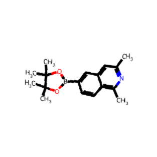 Cc1cc2cc(B3OC(C)(C)C(C)(C)O3)ccc2c(C)n1